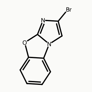 Brc1cn2c(n1)oc1ccccc12